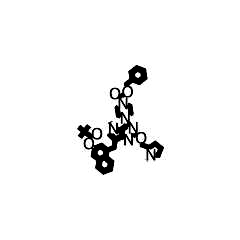 CN1CCCC1COc1nc(N2CCN(C(=O)OCc3ccccc3)CC2)c2c(n1)c(Cc1cc(OC(=O)C(C)(C)C)cc3ccccc13)cn2C